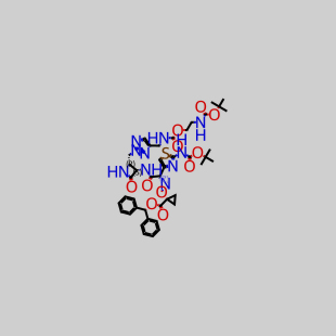 CC(C)(C)OC(=O)NCCOC(=O)NCc1cnn(C[C@H]2NC(=O)[C@H]2NC(=O)/C(=N\OC2(C(=O)OC(c3ccccc3)c3ccccc3)CC2)c2csc(NC(=O)OC(C)(C)C)n2)n1